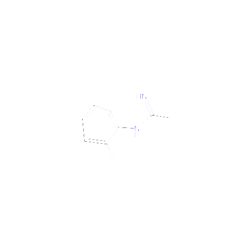 [CH2]c1ccccc1NC(C)=N